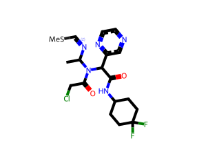 CS/C=N\C(C)N(C(=O)CCl)C(C(=O)NC1CCC(F)(F)CC1)c1cnccn1